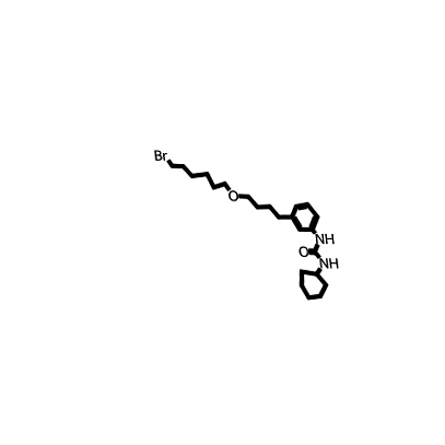 O=C(Nc1cccc(CCCCOCCCCCCBr)c1)NC1CCCCC1